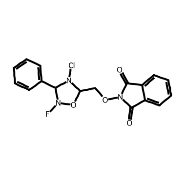 O=C1c2ccccc2C(=O)N1OCC1ON(F)C(c2ccccc2)N1Cl